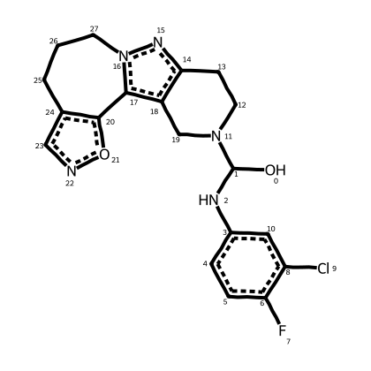 OC(Nc1ccc(F)c(Cl)c1)N1CCc2nn3c(c2C1)-c1oncc1CCC3